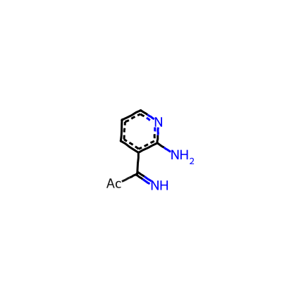 CC(=O)C(=N)c1cccnc1N